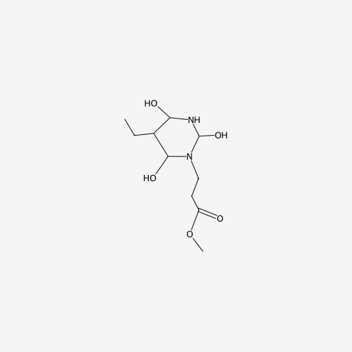 CCC1C(O)NC(O)N(CCC(=O)OC)C1O